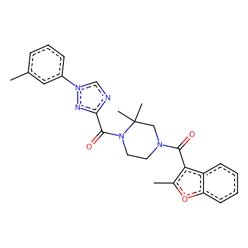 Cc1cccc(-n2cnc(C(=O)N3CCN(C(=O)c4c(C)oc5ccccc45)CC3(C)C)n2)c1